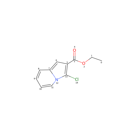 CCOC(=O)c1cc2ccccn2c1Cl